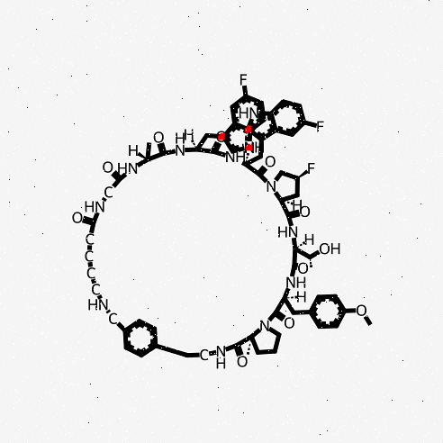 COc1ccc(C[C@@H]2NC(=O)[C@H]([C@@H](C)O)NC(=O)[C@@H]3C[C@H](F)CN3C(=O)[C@H](Cc3c[nH]c4ccc(F)cc34)NC(=O)[C@H](Cc3c[nH]c4ccc(F)cc34)NC(=O)[C@@H](C)NC(=O)CNC(=O)CCCCNCc3ccc(cc3)CCNC(=O)[C@]3(C)CCCN3C2=O)cc1